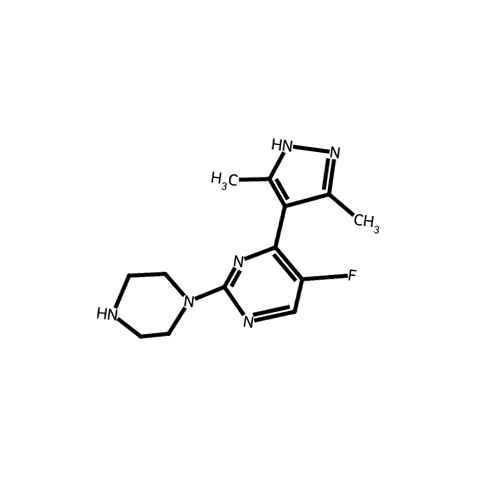 Cc1n[nH]c(C)c1-c1nc(N2CCNCC2)ncc1F